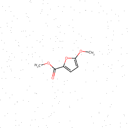 COC(=O)c1ccc(OC)o1